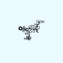 CC[C@H](C)[C@H](NC(=O)CCC(=O)O)C(=O)NCC(=O)N1C[C@H](S(=O)(=O)c2ccccc2)C[C@H]1C(=O)NCc1nn[nH]n1